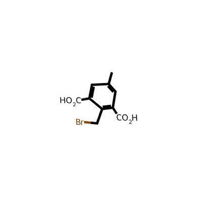 Cc1cc(C(=O)O)c(CBr)c(C(=O)O)c1